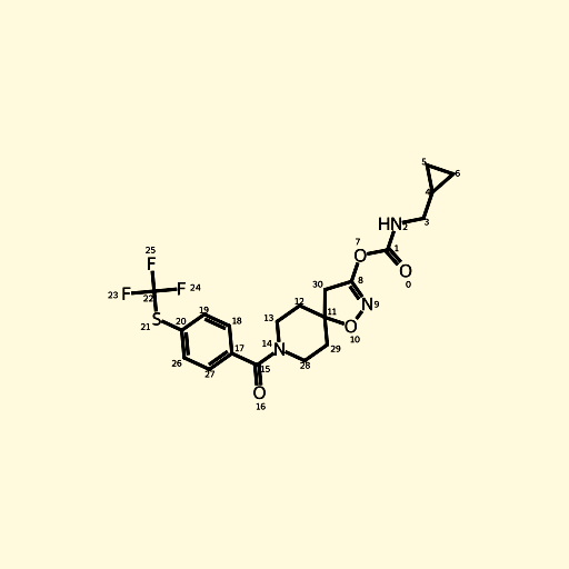 O=C(NCC1CC1)OC1=NOC2(CCN(C(=O)c3ccc(SC(F)(F)F)cc3)CC2)C1